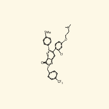 CSc1ccc(-n2nc3c(=O)n(Cc4ccc(C(F)(F)F)cc4)nc-3cc2-c2ccc(OCCN(C)C)cc2Cl)cc1